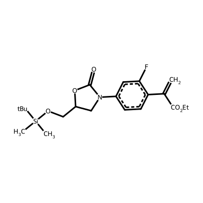 C=C(C(=O)OCC)c1ccc(N2CC(CO[Si](C)(C)C(C)(C)C)OC2=O)cc1F